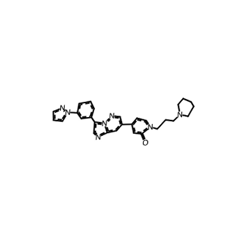 O=c1cc(-c2cnn3c(-c4cccc(-n5cccn5)c4)cnc3c2)ccn1CCCN1CCCCC1